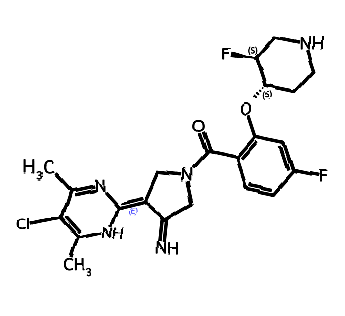 CC1=N/C(=C2\CN(C(=O)c3ccc(F)cc3O[C@H]3CCNC[C@@H]3F)CC2=N)NC(C)=C1Cl